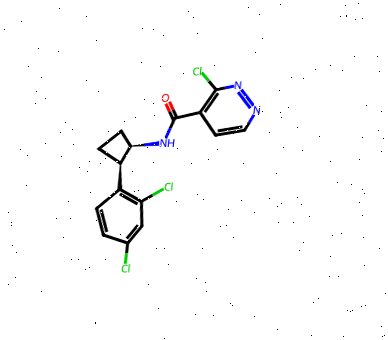 O=C(N[C@@H]1CC[C@@H]1c1ccc(Cl)cc1Cl)c1ccnnc1Cl